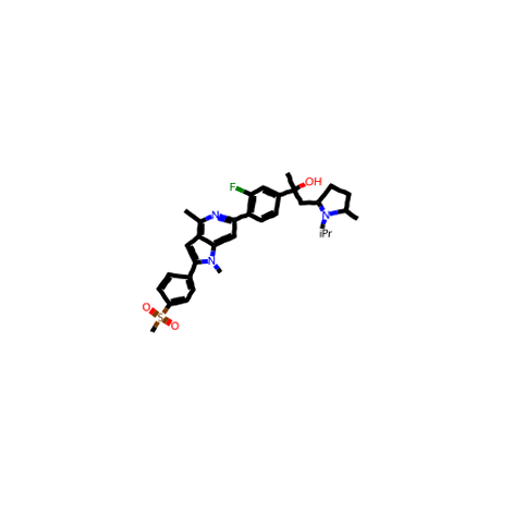 Cc1nc(-c2ccc(C(C)(O)CC3CCC(C)N3C(C)C)cc2F)cc2c1cc(-c1ccc(S(C)(=O)=O)cc1)n2C